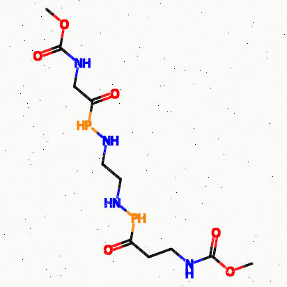 COC(=O)NCCC(=O)PNCCNPC(=O)CNC(=O)OC